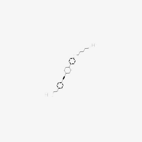 CCCCCCOc1ccc(C2CCC(C#Cc3ccc(CCC)cc3)CC2)cc1